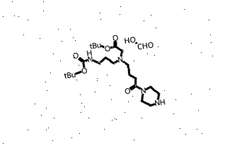 CC(C)(C)OC(=O)CN(CCCNC(=O)OC(C)(C)C)CCCC(=O)N1CCNCC1.O=CO